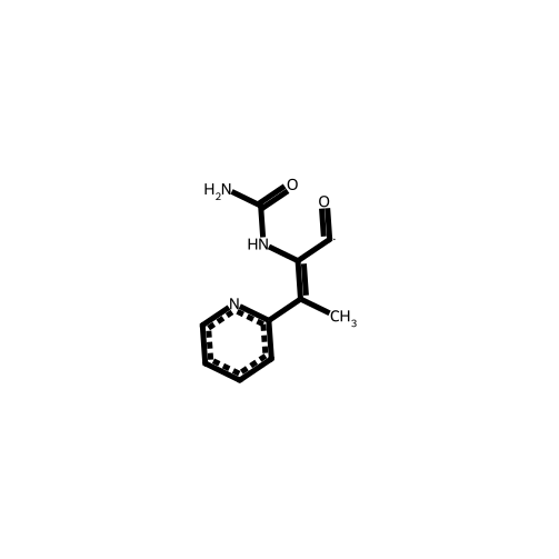 CC(=C([C]=O)NC(N)=O)c1ccccn1